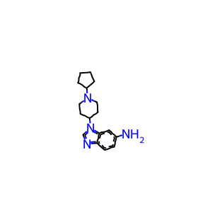 Nc1ccc2ncn(C3CCN(C4CCCC4)CC3)c2c1